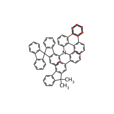 CC1(C)c2ccccc2-c2ccc(-c3ccccc3N(c3cccc(-c4ccccc4)c3-c3ccccc3-c3ccccc3)c3cccc4c3-c3ccccc3C43c4ccccc4-c4ccccc43)cc21